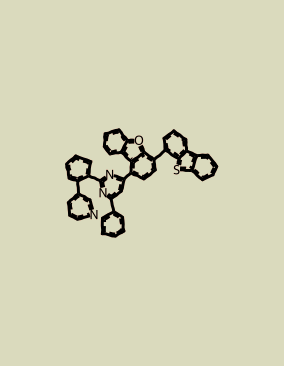 c1ccc(-c2cc(-c3ccc(-c4cccc5c4sc4ccccc45)c4oc5ccccc5c34)nc(-c3ccccc3-c3cccnc3)n2)cc1